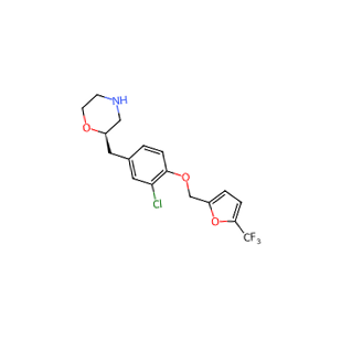 FC(F)(F)c1ccc(COc2ccc(C[C@@H]3CNCCO3)cc2Cl)o1